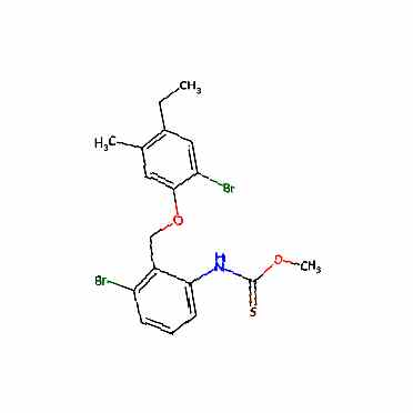 CCc1cc(Br)c(OCc2c(Br)cccc2NC(=S)OC)cc1C